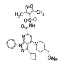 COCC1CCN(c2cc(C(=O)NS(=O)(=O)c3c(C)noc3C)nc3c2c(C2CCC2)nn3-c2ccccc2)CC1